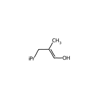 CC(=CO)CC(C)C